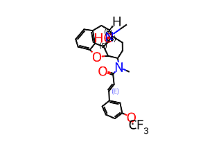 CN(C(=O)/C=C/c1cccc(OC(F)(F)F)c1)C1CC[C@@]2(O)[C@H]3Cc4cccc5c4[C@@]2(CCN3C)C1O5